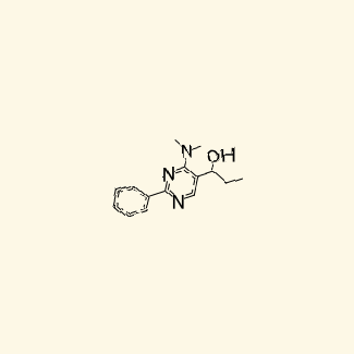 CCC(O)c1cnc(-c2ccccc2)nc1N(C)C